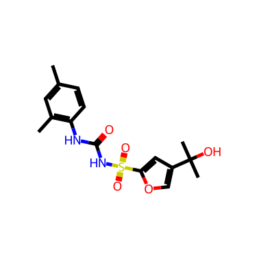 Cc1ccc(NC(=O)NS(=O)(=O)c2cc(C(C)(C)O)co2)c(C)c1